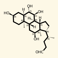 C[C@H](CCC=O)[C@H]1CC[C@H]2[C@@H]3[C@H](O)[C@@H](O)[C@@H]4C[C@H](O)CC[C@]4(C)[C@H]3C[C@H](O)[C@]12C